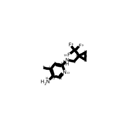 Cc1cc(NCC2(C(F)(F)F)CC2)ncc1N